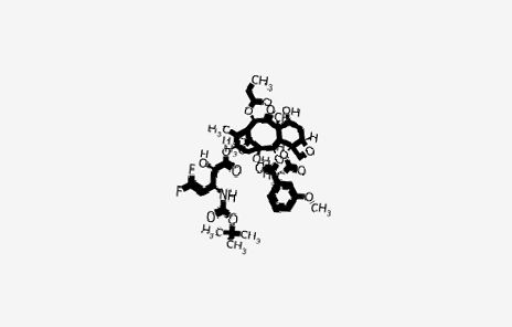 CCC(=O)O[C@H]1C(=O)[C@@]2(C)[C@H]([C@H](OC(=O)c3cccc(OC)c3)[C@]3(O)C[C@H](OC(=O)[C@H](O)[C@H](C=C(F)F)NC(=O)OC(C)(C)C)C(C)=C1C3(C)C)[C@]1(OC(C)=O)CO[C@@H]1C[C@@H]2O